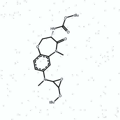 CN1C(=O)[C@@H](NC(=O)OC(C)(C)C)COc2ccc(N(C)C3OC3OC(C)(C)C)cc21